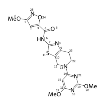 COc1cc(C(=O)Nc2nc3c(s2)CN(c2cc(OC)nc(OC)n2)CC3)on1